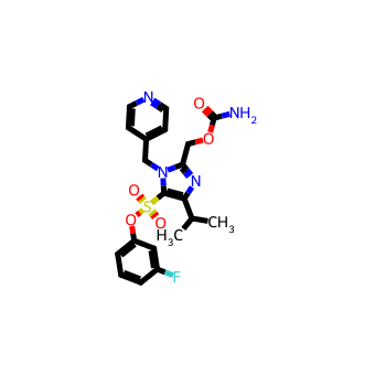 CC(C)c1nc(COC(N)=O)n(Cc2ccncc2)c1S(=O)(=O)Oc1cccc(F)c1